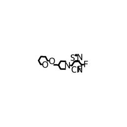 N#CC(c1scnc1C(F)F)N1CCC(COC2CCCCO2)CC1